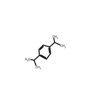 C[C](C)c1ccc(C(C)C)cc1